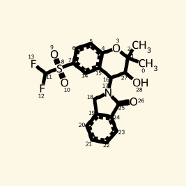 CC1(C)Oc2ccc(S(=O)(=O)C(F)F)cc2C(N2Cc3ccccc3C2=O)C1O